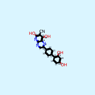 N#Cc1c(O)nc2ncc(-c3ccc(-c4ccc(O)cc4O)cc3)nc2c1O